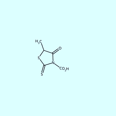 CC1SC(=S)N(C(=O)O)C1=O